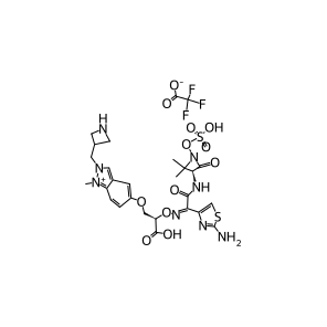 C[n+]1c2ccc(OC[C@@H](O/N=C(\C(=O)N[C@@H]3C(=O)N(OS(=O)(=O)O)C3(C)C)c3csc(N)n3)C(=O)O)cc2cn1CC1CNC1.O=C([O-])C(F)(F)F